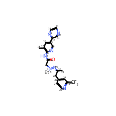 CCN(CC(=O)Nc1ncc(-c2cnccn2)cc1C)/N=C(/C)Cc1ccnc(C(F)(F)F)c1